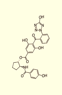 O=C(N[C@H]1CCC[C@@H]1OC(=O)c1cc(O)c(C(=O)c2ccccc2-n2nnc(O)n2)c(O)c1)c1ccc(O)cc1